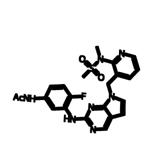 CC(=O)Nc1ccc(F)c(Nc2ncc3ccn(Cc4cccnc4N(C)S(C)(=O)=O)c3n2)c1